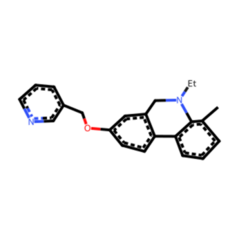 CCN1Cc2cc(OCc3cccnc3)ccc2-c2cccc(C)c21